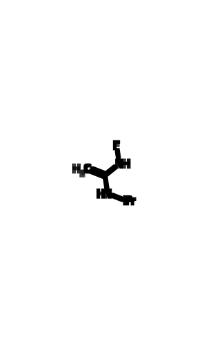 C=C(NF)NC(C)C